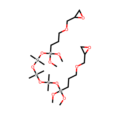 CO[Si](CCCOCC1CO1)(OC)O[Si](C)(C)O[Si](C)(C)O[Si](C)(C)O[Si](CCCOCC1CO1)(OC)OC